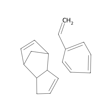 C1=CC2C3C=CC(C3)C2C1.C=Cc1ccccc1